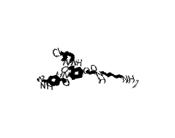 CN(C)C(=N)c1ccc(C(=O)Nc2ccc(OCC(=O)NCCCCCN)cc2C(=O)Nc2ccc(Cl)cn2)cc1